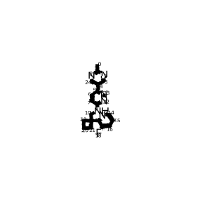 Cc1ncc(-c2ccc(NCC3(c4ncccc4F)CCC3)nn2)cn1